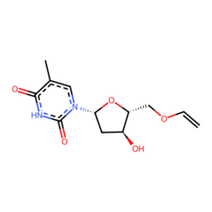 C=COC[C@H]1O[C@@H](n2cc(C)c(=O)[nH]c2=O)C[C@@H]1O